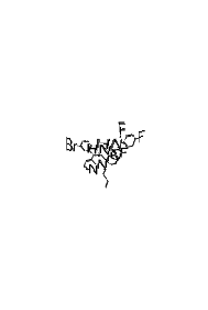 CCCCn1c(=O)c(NC(=O)Nc2c(F)cc(F)cc2F)c(-c2cccc(Br)c2)c2cccnc21